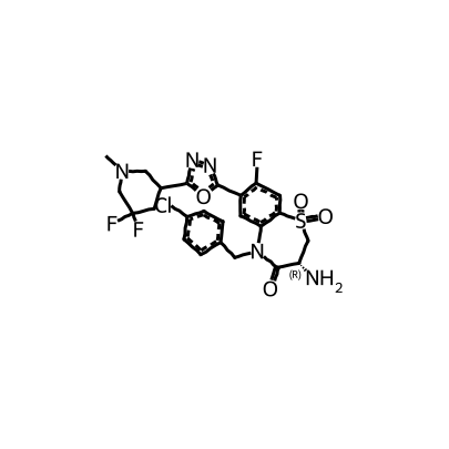 CN1CC(c2nnc(-c3cc4c(cc3F)S(=O)(=O)C[C@H](N)C(=O)N4Cc3ccc(Cl)cc3)o2)CC(F)(F)C1